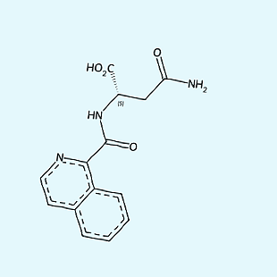 NC(=O)C[C@H](NC(=O)c1nccc2ccccc12)C(=O)O